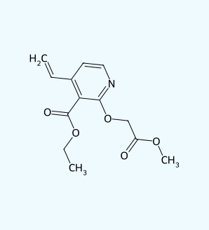 C=Cc1ccnc(OCC(=O)OC)c1C(=O)OCC